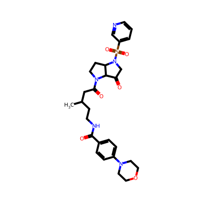 CC(CCNC(=O)c1ccc(N2CCOCC2)cc1)CC(=O)N1CCC2C1C(=O)CN2S(=O)(=O)c1cccnc1